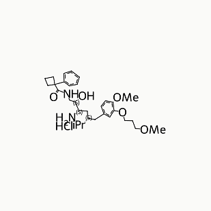 COCCCOc1cc(C[C@@H](C[C@H](N)[C@@H](O)CNC(=O)C2(c3ccccc3)CCC2)C(C)C)ccc1OC.Cl